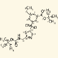 CCc1cc(C(=O)OC(C)(C)C)cc(S(=O)(=O)c2cnc(CNC(=O)OC(C)(C)C)s2)c1